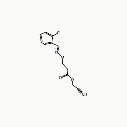 C#CCOC(=O)CCO/N=C/c1c[c]ccc1Cl